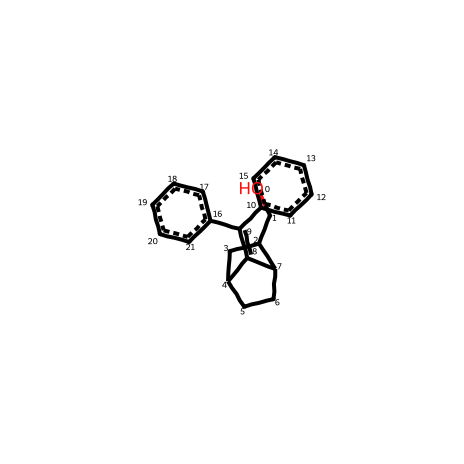 OCC1CC2CCC1C2=C(c1ccccc1)c1ccccc1